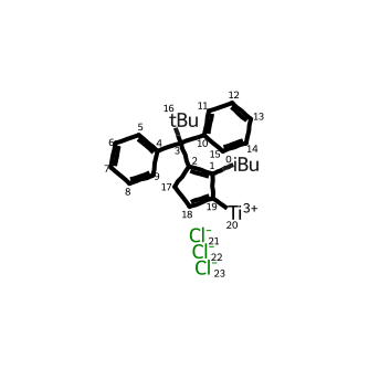 CCC(C)C1=C(C(c2ccccc2)(c2ccccc2)C(C)(C)C)CC=[C]1[Ti+3].[Cl-].[Cl-].[Cl-]